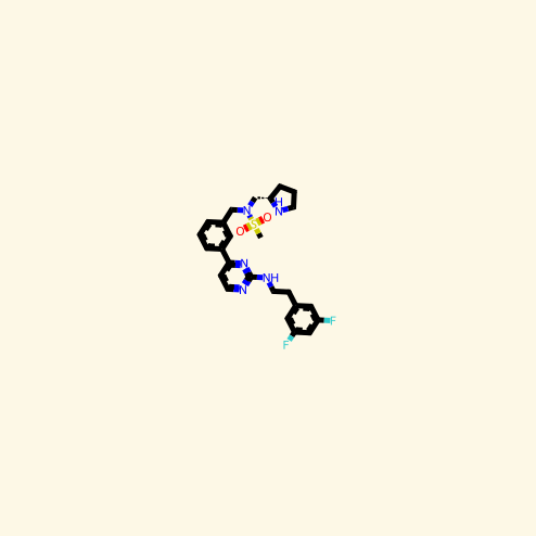 CS(=O)(=O)N(Cc1cccc(-c2ccnc(NCCc3cc(F)cc(F)c3)n2)c1)C[C@@H]1CCCN1